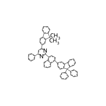 CC1(C)c2ccccc2-c2ccc(-c3cc(-c4ccccc4)nc(-c4ccc(-c5ccc6c(c5)-c5ccccc5C6(c5ccccc5)c5ccccc5)c5ccccc45)n3)cc21